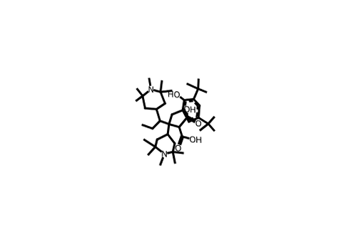 CCC(C1CC(C)(C)N(C)C(C)(C)C1)C(Cc1cc(C(C)(C)C)cc(C(C)(C)C)c1O)(C1CC(C)(C)N(C)C(C)(C)C1)C(C(=O)O)C(=O)O